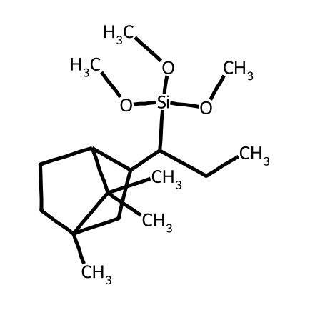 CCC(C1CC2(C)CCC1C2(C)C)[Si](OC)(OC)OC